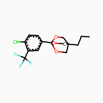 CCCC12COC(c3ccc(Cl)c(C(F)(F)F)c3)(OC1)OC2